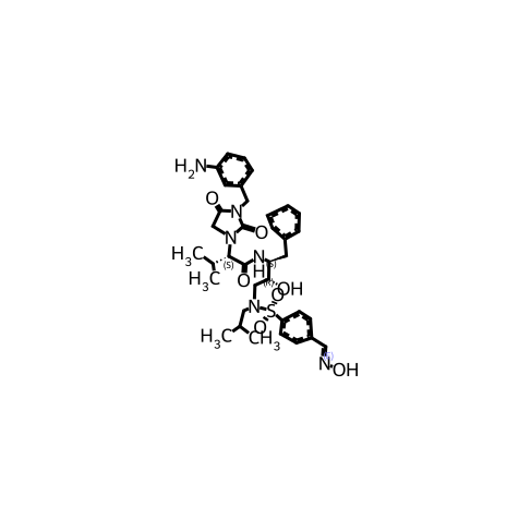 CC(C)CN(C[C@@H](O)[C@H](Cc1ccccc1)NC(=O)[C@H](C(C)C)N1CC(=O)N(Cc2cccc(N)c2)C1=O)S(=O)(=O)c1ccc(/C=N/O)cc1